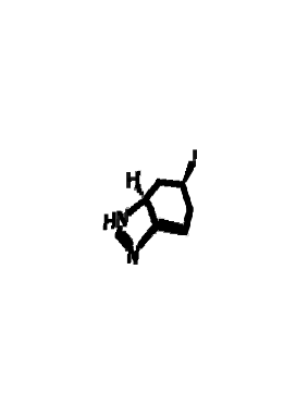 I[C@H]1CC=C2N=CN[C@H]2C1